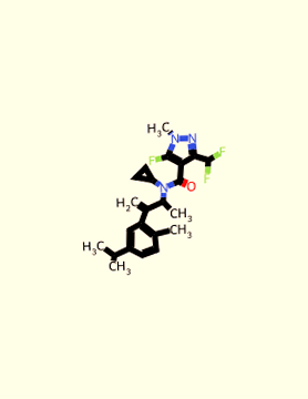 C=C(c1cc(C(C)C)ccc1C)C(C)N(C(=O)c1c(C(F)F)nn(C)c1F)C1CC1